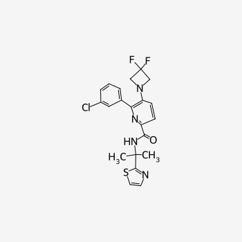 CC(C)(NC(=O)c1ccc(N2CC(F)(F)C2)c(-c2cccc(Cl)c2)n1)c1nccs1